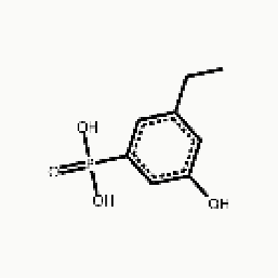 CCc1cc(O)cc(P(=O)(O)O)c1